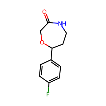 O=C1COC(c2ccc(F)cc2)CCN1